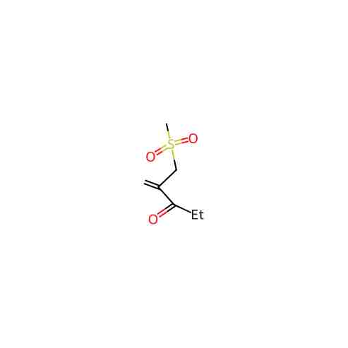 C=C(CS(C)(=O)=O)C(=O)CC